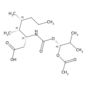 CCC[C@@H](C)[C@@H](C)[C@@H](CC(=O)O)NC(=O)O[C@@H](OC(C)=O)C(C)C